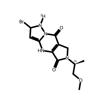 [2H]N1C(Br)C=C2NC3=C(CN([C@@H](C)COC)C3=O)C(=O)N21